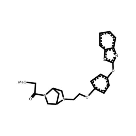 COCC(=O)N1CC2CC1CN2CCOc1ccc(Oc2nc3ccccc3s2)cc1